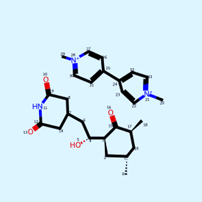 C[C@@H]1C[C@@H]([C@H](O)CC2CC(=O)NC(=O)C2)C(=O)[C@@H](C)C1.C[n+]1ccc(-c2cc[n+](C)cc2)cc1